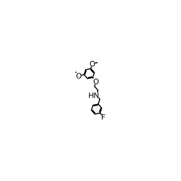 COc1cc(OC)cc(OCCNCc2cccc(F)c2)c1